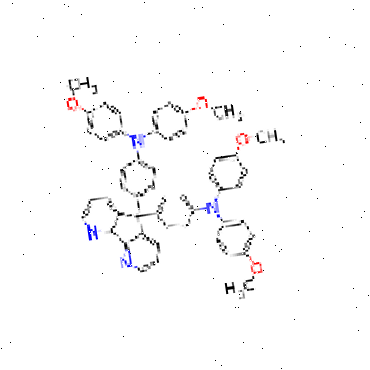 COc1ccc(N(c2ccc(OC)cc2)c2ccc(C3(c4ccc(N(c5ccc(OC)cc5)c5ccc(OC)cc5)cc4)c4cccnc4-c4ncccc43)cc2)cc1